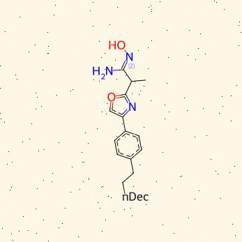 CCCCCCCCCCCCc1ccc(-c2coc(C(C)/C(N)=N/O)n2)cc1